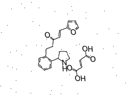 O=C(C=Cc1ccco1)CCc1ccccc1C1CCCN1.O=C(O)C=CC(=O)O